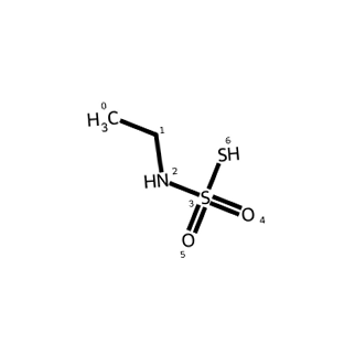 CCNS(=O)(=O)S